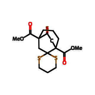 COC(=O)C12CCCC(C(=O)OC)(CC13SCCCS3)C1(C2)SCCCS1